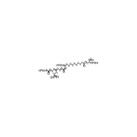 CCCCCCC(CCCC)COC(=O)CCCCCCCCCC(CCCCCC)OC(=O)OCCN(CCOC(=O)CCCCC)CCN(CC)CC